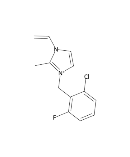 C=Cn1cc[n+](Cc2c(F)cccc2Cl)c1C